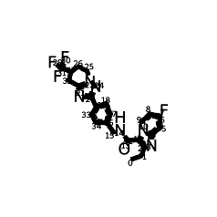 CCc1nc2cc(F)ccn2c1C(=O)NCc1ccc(-c2nc3n(n2)CCC(C(F)(F)F)C3)cc1